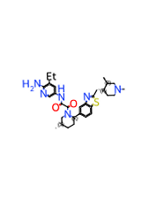 CCc1cc(NC(=O)C(=O)N2C[C@@H](C)CC[C@@H]2c2ccc3sc(C[C@H]4CCN(C)C[C@@H]4C)nc3c2)cnc1N